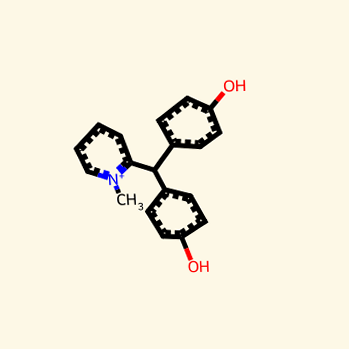 C[n+]1ccccc1C(c1ccc(O)cc1)c1ccc(O)cc1